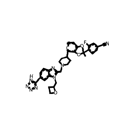 CC1(c2ccc(C#N)cc2F)Oc2cccc(C3CCN(Cc4nc5ccc(-c6nnn[nH]6)cc5n4CC4CCO4)CC3)c2O1